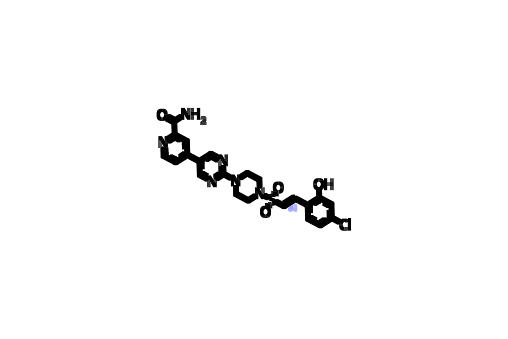 NC(=O)c1cc(-c2cnc(N3CCN(S(=O)(=O)/C=C/c4ccc(Cl)cc4O)CC3)nc2)ccn1